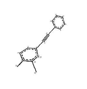 Cc1ccc(C#Cc2ccccc2)nc1C